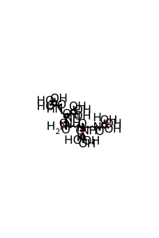 NC(=O)C(CCCCNC(=O)C(CCCCNC(=O)c1cc(O)c(O)c(O)c1)NC(=O)c1cc(O)c(O)c(O)c1)NC(=O)C(CCCCNC(=O)c1cc(O)c(O)c(O)c1)NC(=O)c1cc(O)c(O)c(O)c1